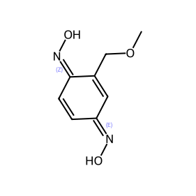 COCC1=CC(=N/O)/C=CC/1=N/O